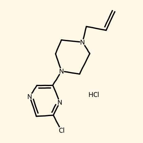 C=CCN1CCN(c2cncc(Cl)n2)CC1.Cl